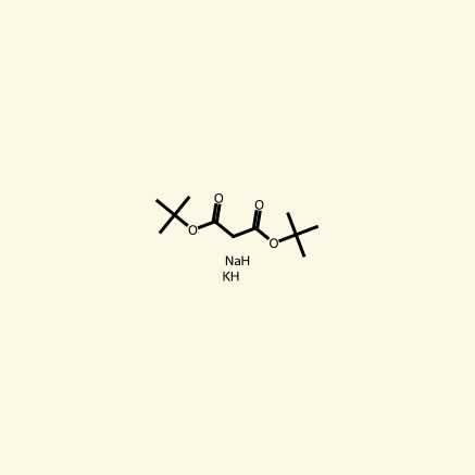 CC(C)(C)OC(=O)CC(=O)OC(C)(C)C.[KH].[NaH]